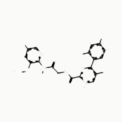 COc1cc(C)cnc1N(C)C(=O)CNC(=O)c1ncc(F)c(-c2ccc(C)cc2C)n1